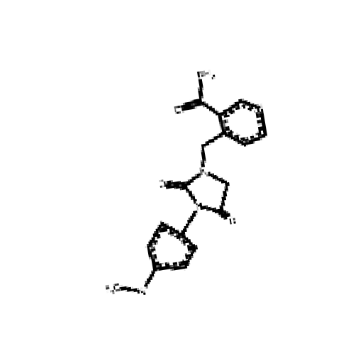 NC(=O)c1cnccc1CN1CC(=O)N(c2ccc(SC(F)(F)F)cc2)C1=O